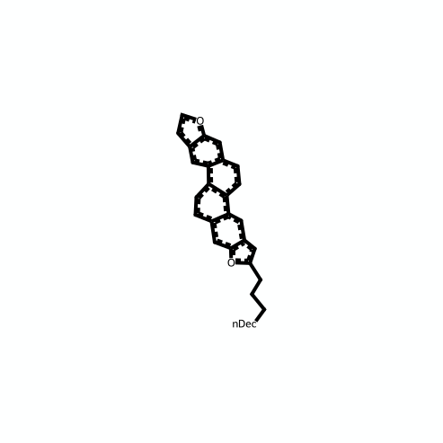 CCCCCCCCCCCCCc1cc2cc3c(ccc4c5cc6ccoc6cc5ccc34)cc2o1